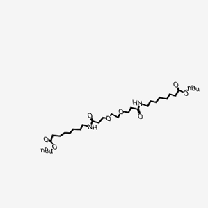 CCCCOC(=O)CCCCCCCNC(=O)CCOCCOCCC(=O)NCCCCCCCC(=O)OCCCC